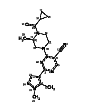 Cc1c(-c2ncc(C#N)c(N3CCN(C(=O)C4CC4)[C@H](C)C3)n2)cnn1C